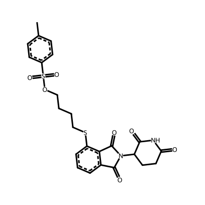 Cc1ccc(S(=O)(=O)OCCCCSc2cccc3c2C(=O)N(C2CCC(=O)NC2=O)C3=O)cc1